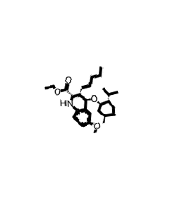 CCCCC[C@H]1[C@@H](C(=O)OCC)Nc2ccc(OC)cc2[C@@H]1O[C@@H]1C[C@H](C)CC[C@H]1C(C)C